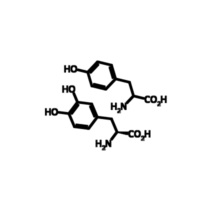 NC(Cc1ccc(O)cc1)C(=O)O.N[C@@H](Cc1ccc(O)c(O)c1)C(=O)O